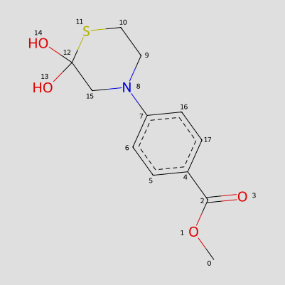 COC(=O)c1ccc(N2CCSC(O)(O)C2)cc1